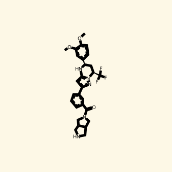 COc1ccc([C@H]2C[C@@H](C(F)(F)F)n3nc(-c4cccc(C(=O)N5CC6CNCC6C5)c4)cc3N2)cc1OC